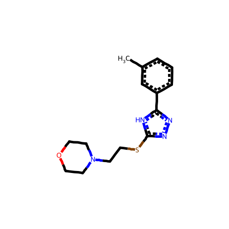 Cc1cccc(-c2nnc(SCCN3CCOCC3)[nH]2)c1